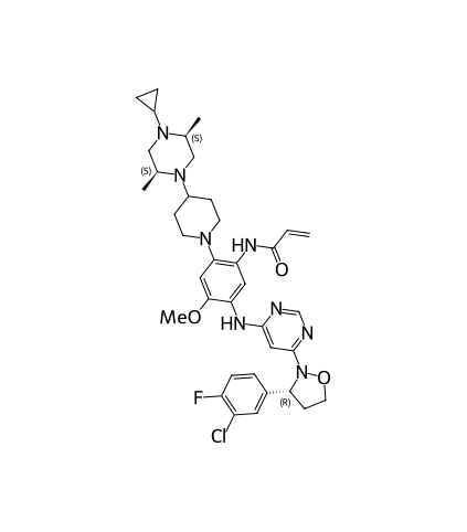 C=CC(=O)Nc1cc(Nc2cc(N3OCC[C@@H]3c3ccc(F)c(Cl)c3)ncn2)c(OC)cc1N1CCC(N2C[C@H](C)N(C3CC3)C[C@@H]2C)CC1